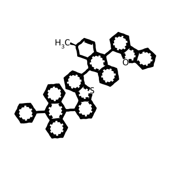 C[C@H]1C=Cc2c(c(-c3cccc4c3sc3cccc(-c5c6ccccc6c(-c6ccccc6)c6ccccc56)c34)c3ccccc3c2-c2cccc3c2oc2ccccc23)C1